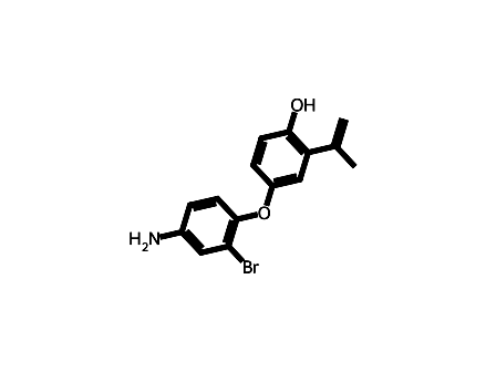 C=C(C)c1cc(Oc2ccc(N)cc2Br)ccc1O